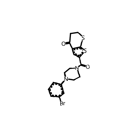 O=C1CCSc2sc(C(=O)N3CCN(c4cccc(Br)c4)CC3)cc21